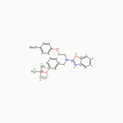 COc1ccc(OCCN(Cc2cccc(OC(C)(C)C(=O)O)c2)c2nc3ccccc3o2)cc1